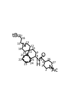 CC(=O)N1CCC(C(=O)N[C@@H]2CCC3(CCN(CCC(C)(C)C)CC3)c3ccccc32)CC1